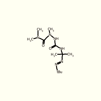 CN(C)C(=O)N(C)NC(=O)NC(C)(C)/N=N/C(C)(C)C